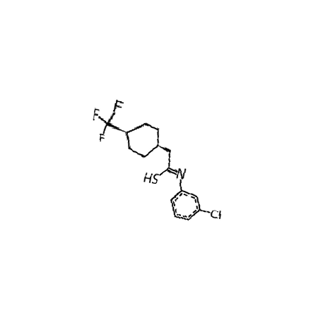 FC(F)(F)[C@H]1CC[C@@H](CC(S)=Nc2cccc(Cl)c2)CC1